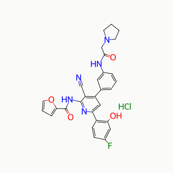 Cl.N#Cc1c(-c2cccc(NC(=O)CN3CCCC3)c2)cc(-c2ccc(F)cc2O)nc1NC(=O)c1ccco1